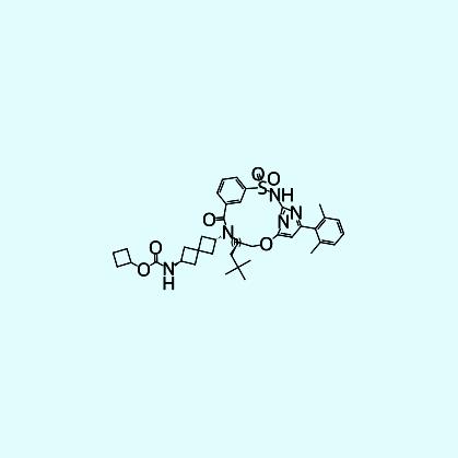 Cc1cccc(C)c1-c1cc2nc(n1)NS(=O)(=O)c1cccc(c1)C(=O)N([C@H]1CC3(C[C@H](NC(=O)OC4CCC4)C3)C1)[C@H](CC(C)(C)C)CO2